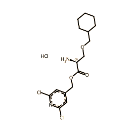 Cl.N[C@@H](COCC1CCCCC1)C(=O)OCc1cc(Cl)nc(Cl)c1